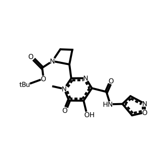 Cn1c(C2CCN2C(=O)OC(C)(C)C)nc(C(=O)Nc2cnoc2)c(O)c1=O